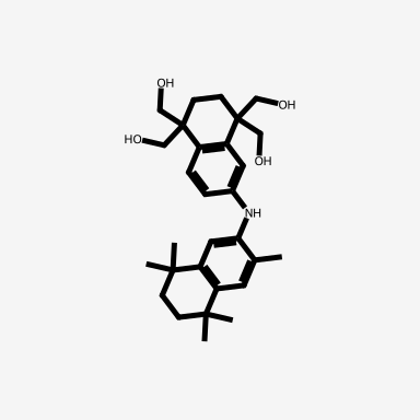 Cc1cc2c(cc1Nc1ccc3c(c1)C(CO)(CO)CCC3(CO)CO)C(C)(C)CCC2(C)C